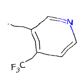 [CH2]c1cnccc1C(F)(F)F